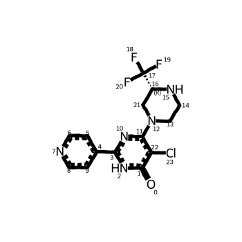 O=c1[nH]c(-c2ccncc2)nc(N2CCN[C@@H](C(F)(F)F)C2)c1Cl